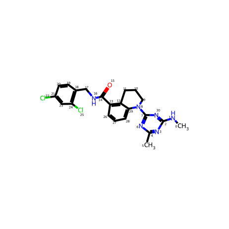 CNc1nc(C)nc(N2CCCc3c(C(=O)NCc4ccc(Cl)cc4Cl)cccc32)n1